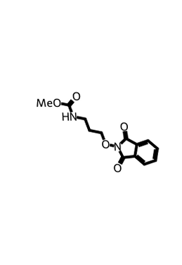 COC(=O)NCCCON1C(=O)c2ccccc2C1=O